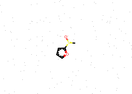 C[S+]([O-])c1[c]cco1